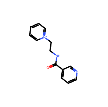 O=C(NCC[n+]1ccccc1)c1cccnc1